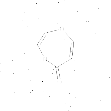 O=C1C=COC=CN1